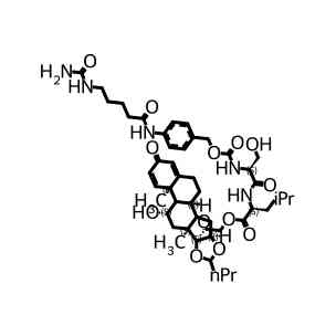 CCCC1O[C@@H]2CC3[C@H]4CCC5=CC(=O)C=C[C@]5(C)C4[C@@H](O)C[C@]3(C)[C@]2(C(=O)COC(=O)[C@H](CC(C)C)NC(=O)[C@H](CO)NC(=O)OCc2ccc(NC(=O)CCCCNC(N)=O)cc2)O1